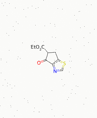 CCOC(=O)C1Cc2scnc2C1=O